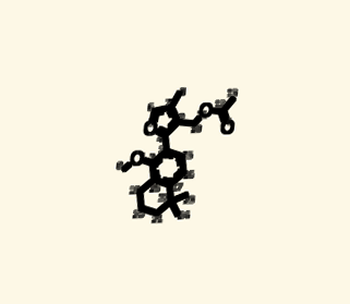 COc1c(-c2occ(C)c2COC(C)=O)ccc2c1CCCC2(C)C